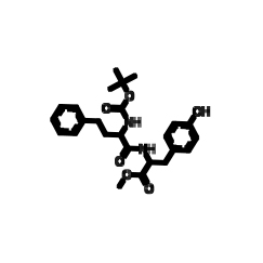 COC(=O)C(Cc1ccc(O)cc1)NC(=O)C(CCc1ccccc1)NC(=O)OC(C)(C)C